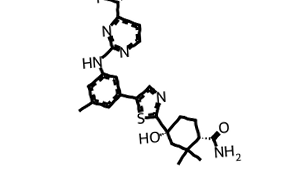 Cc1cc(Nc2nccc([C@@H](C)F)n2)cc(-c2cnc([C@@]3(O)CC[C@H](C(N)=O)C(C)(C)C3)s2)c1